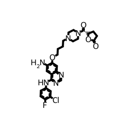 Nc1cc2c(Nc3ccc(F)c(Cl)c3)ncnc2cc1OCCCCN1CCN(C(=O)[C@@H]2CCC(=O)O2)CC1